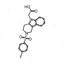 O=C(O)Cn1c2c(c3ccccc31)CN(S(=O)(=O)c1ccc(F)cc1)CC2